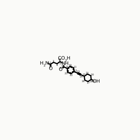 NC(=O)CC[C@H](NC(=O)c1ccc(C#CC2CCC(O)CC2)cc1)C(=O)O